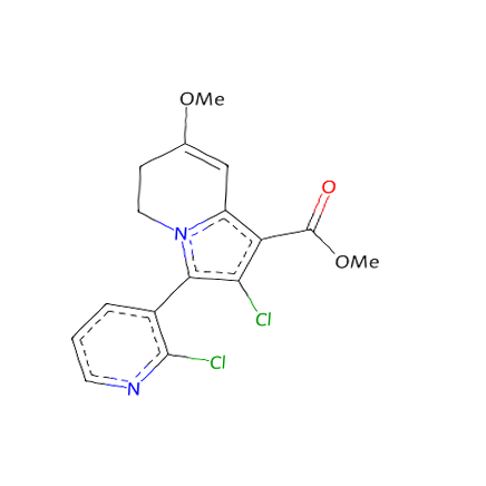 COC(=O)c1c(Cl)c(-c2cccnc2Cl)n2c1C=C(OC)CC2